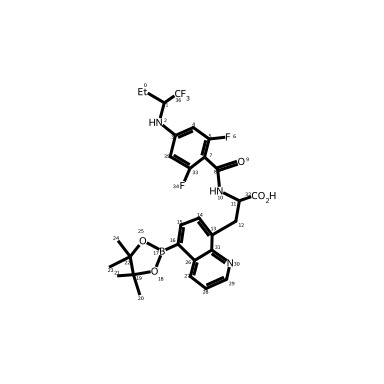 CCC(Nc1cc(F)c(C(=O)NC(Cc2ccc(B3OC(C)(C)C(C)(C)O3)c3cccnc23)C(=O)O)c(F)c1)C(F)(F)F